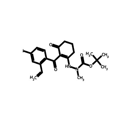 C=Cc1cc(I)ccc1C(=O)C1=C(NN(C)C(=O)OC(C)(C)C)CCCC1=O